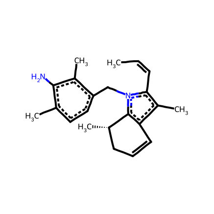 C/C=C\c1c(C)c2c(n1Cc1ccc(C)c(N)c1C)[C@@H](C)CC=C2